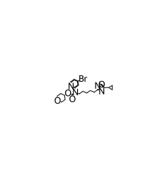 O=C(OC1CCOCC1)N(CCCCCc1noc(C2CC2)n1)c1cc(Br)ccn1